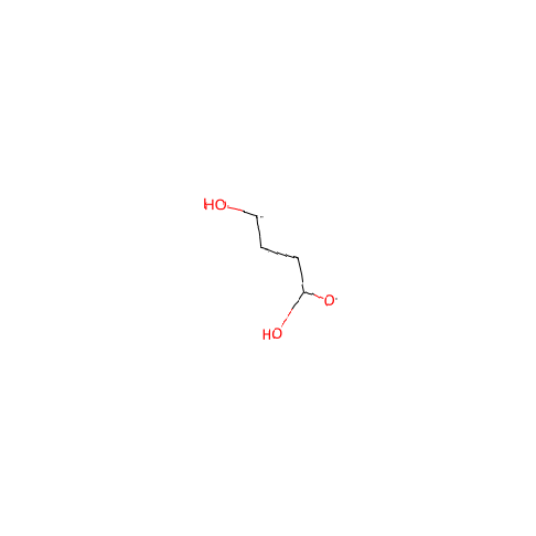 [O]C(O)CC[CH]O